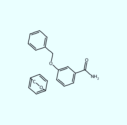 NC(=O)c1cccc(OCc2ccccc2)c1.c1cc2ccc1CO2